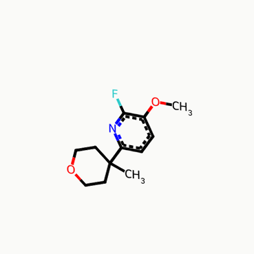 COc1ccc(C2(C)CCOCC2)nc1F